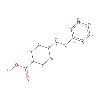 COC(=O)C1CCC(NCc2cccnc2)CC1